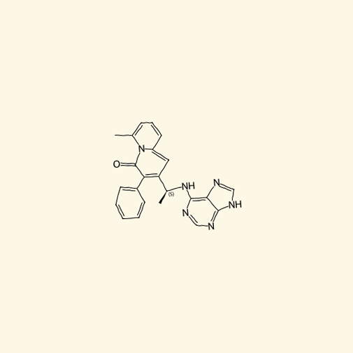 Cc1cccc2cc([C@H](C)Nc3ncnc4[nH]cnc34)c(-c3ccccc3)c(=O)n12